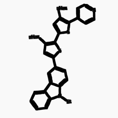 CCCCCCc1cc(-c2sc(-c3ccc4c(c3)c3ccccc3n4CC)cc2CCCCCC)sc1-c1ccncc1